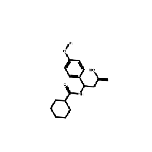 C=C(O)CC(NC(=O)C1CCCCC1)c1ccc(OC(C)C)cc1